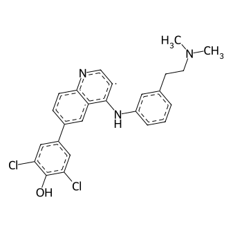 CN(C)CCc1cccc(Nc2[c]cnc3ccc(-c4cc(Cl)c(O)c(Cl)c4)cc23)c1